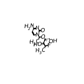 CC(F)[C@H](O)[C@@H](CO)OC(C)n1ccc(N)nc1=O